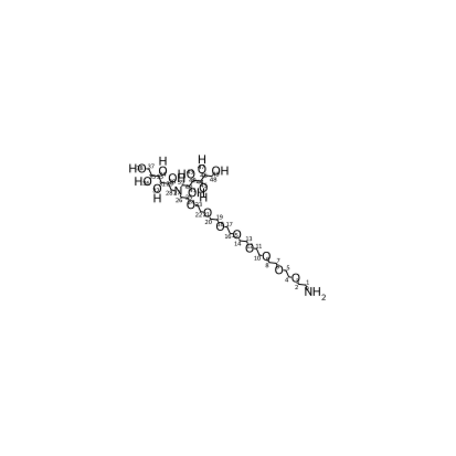 NCCOCCOCCOCCOCCOCCOCCOCCOCCN(C[C@H](O)[C@@H](O)[C@H](O)[C@H](O)CO)C[C@H](O)[C@@H](O)[C@H](O)[C@H](O)CO